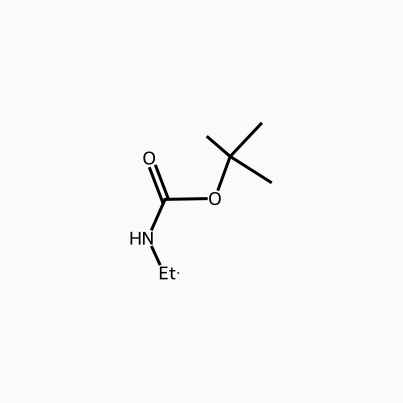 C[CH]NC(=O)OC(C)(C)C